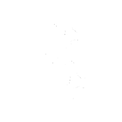 N#Cc1cccc(C2CC(CC(=O)O)CN(Cc3ccc(C(F)(F)F)cc3)C2)c1